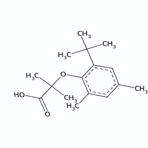 Cc1cc(C)c(OC(C)(C)C(=O)O)c(C(C)(C)C)c1